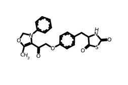 CC1=C(C(=O)COc2ccc(CC3NC(=O)SC3=O)cc2)N(c2ccccc2)CO1